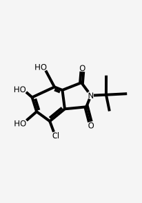 CC(C)(C)N1C(=O)c2c(O)c(O)c(O)c(Cl)c2C1=O